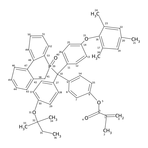 C=C(C)C(=O)Oc1ccc(C(c2ccc(Oc3c(C)cc(C)cc3C)cc2)(c2ccc(OC(C)(C)CC)cc2)P2(=O)Cc3ccccc3-c3ccccc32)cc1